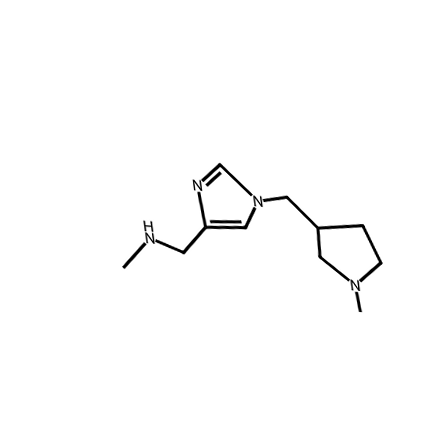 CNCc1cn(CC2CCN(C)C2)cn1